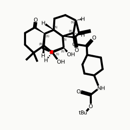 C=C1C(=O)[C@]23[C@H](OC(=O)C4CCC(NC(=O)OC(C)(C)C)CC4)[C@H]1CC[C@H]2[C@@]12CO[C@]3(O)[C@@H](O)[C@@H]1C(C)(C)CCC2=O